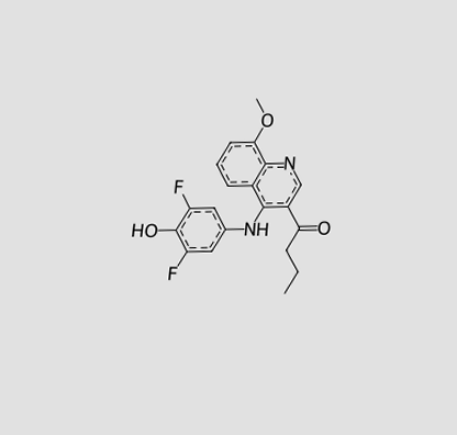 CCCC(=O)c1cnc2c(OC)cccc2c1Nc1cc(F)c(O)c(F)c1